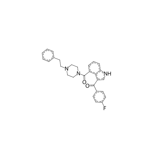 O=C(c1ccc(F)cc1)c1c[nH]c2cccc(C(=O)N3CCN(CCc4ccccc4)CC3)c12